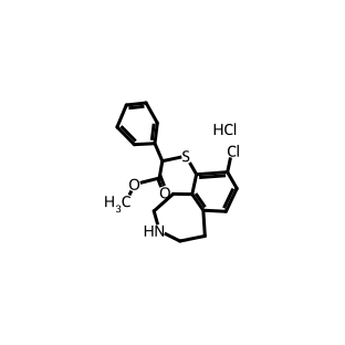 COC(=O)C(Sc1c(Cl)ccc2c1CCNCC2)c1ccccc1.Cl